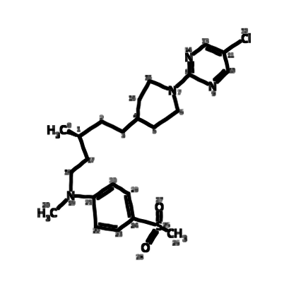 C[C@@H](CCC1CCN(c2ncc(Cl)cn2)CC1)CCN(C)c1ccc(S(C)(=O)=O)cc1